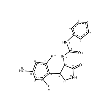 O=C(Nc1ccccc1)NC1C(=O)NCC1c1c(F)cc(O)cc1F